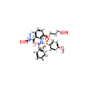 COc1ccc(S(=O)(=O)N(Cc2ccccc2)c2c(OCCCO)cccc2C(=O)NO)cc1